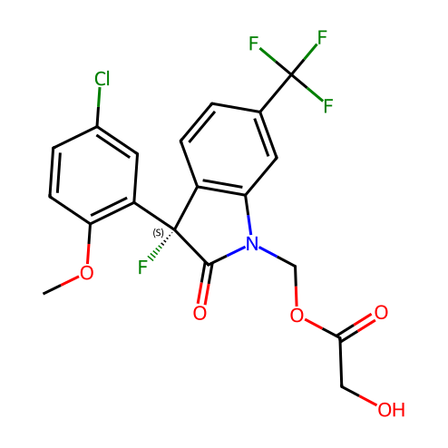 COc1ccc(Cl)cc1[C@]1(F)C(=O)N(COC(=O)CO)c2cc(C(F)(F)F)ccc21